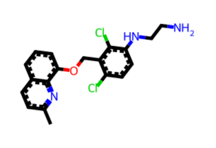 Cc1ccc2cccc(OCc3c(Cl)ccc(NCCN)c3Cl)c2n1